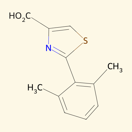 Cc1cccc(C)c1-c1nc(C(=O)O)cs1